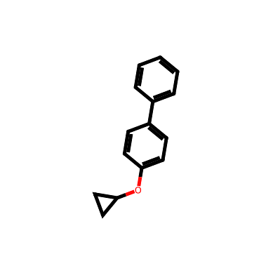 c1ccc(-c2ccc(OC3CC3)cc2)cc1